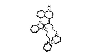 [C+]1=CN(CCCC(=C2C=CNc3ccccc32)c2sc3ccccc3[n+]2CCC[n+]2ccccc2)CC=C1